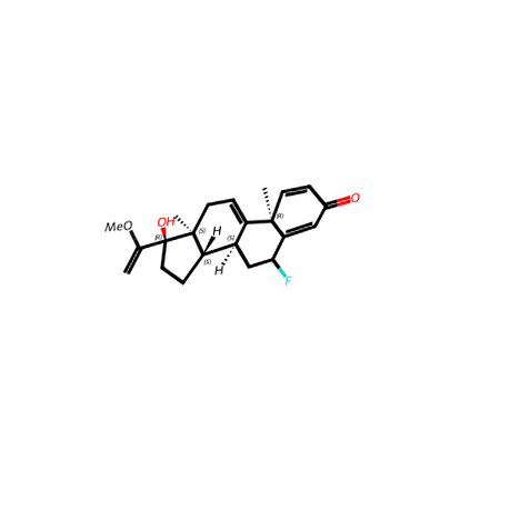 C=C(OC)[C@@]1(O)CC[C@H]2[C@@H]3CC(F)C4=CC(=O)C=C[C@]4(C)C3=CC[C@@]21C